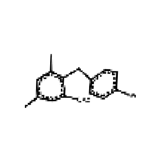 CC(=O)Oc1cc(C)cc(C)c1Cc1ccc(C(C)C)cc1